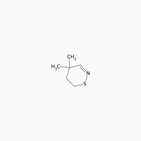 CC1(C)C=NSCC1